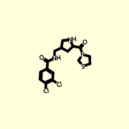 O=C(NCC1CNC(C(=O)N2CCSC2)C1)c1ccc(Cl)c(Cl)c1